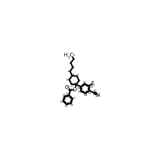 CCCCCC1CCC(OC(=O)c2ccccc2)(c2ccc(C#N)c(F)c2)CC1